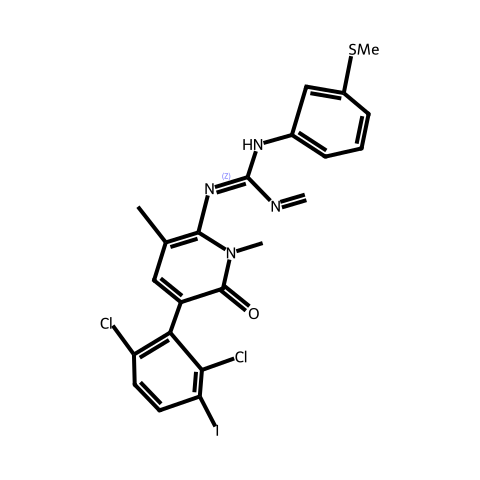 C=N/C(=N\c1c(C)cc(-c2c(Cl)ccc(I)c2Cl)c(=O)n1C)Nc1cccc(SC)c1